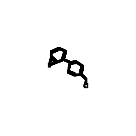 ClCc1ccc(-c2cccc3c2S3)cc1